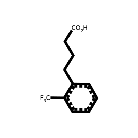 O=C(O)CCCc1cc[c]cc1C(F)(F)F